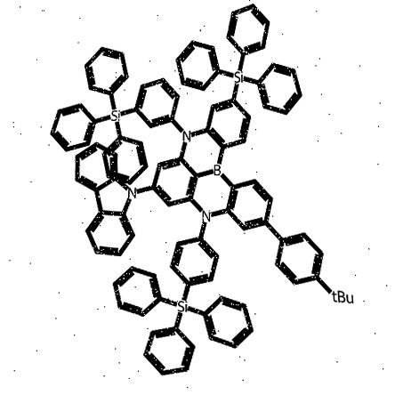 CC(C)(C)c1ccc(-c2ccc3c(c2)N(c2ccc([Si](c4ccccc4)(c4ccccc4)c4ccccc4)cc2)c2cc(-n4c5ccccc5c5ccccc54)cc4c2B3c2ccc([Si](c3ccccc3)(c3ccccc3)c3ccccc3)cc2N4c2cccc([Si](c3ccccc3)(c3ccccc3)c3ccccc3)c2)cc1